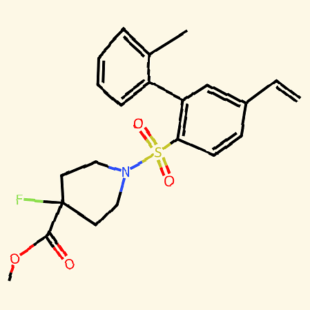 C=Cc1ccc(S(=O)(=O)N2CCC(F)(C(=O)OC)CC2)c(-c2ccccc2C)c1